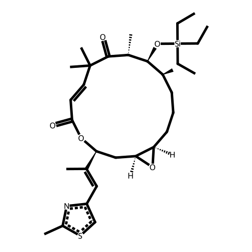 CC[Si](CC)(CC)O[C@H]1[C@@H](C)CCC[C@H]2O[C@H]2C[C@@H](C(C)=Cc2csc(C)n2)OC(=O)/C=C/C(C)(C)C(=O)[C@@H]1C